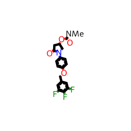 CNC(=O)OC1CC(=O)N(c2ccc(OCc3cc(F)c(F)c(F)c3)cc2)C1